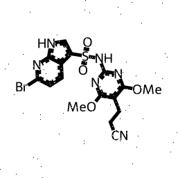 COc1nc(NS(=O)(=O)c2c[nH]c3nc(Br)ccc23)nc(OC)c1CCC#N